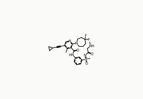 CNCC(=O)N=[S@](C)(=O)c1cccc(NC(=O)c2c(N3CCCC(F)(F)CC3)ncc(C#CC3CC3)c2C)c1